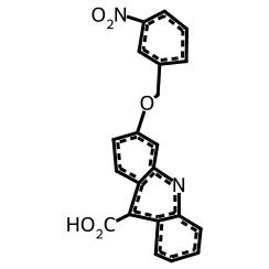 O=C(O)c1c2ccccc2nc2cc(OCc3cccc([N+](=O)[O-])c3)ccc12